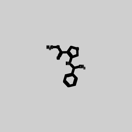 COC(=O)C1=C(NC(C)c2ccccc2)COC1